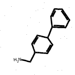 NC[C]1C=CC(c2ccccc2)C=C1